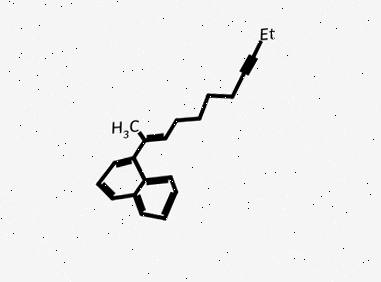 CCC#CCCCCC=C(C)c1cccc2ccccc12